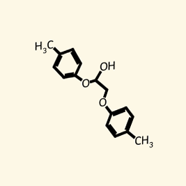 Cc1ccc(OCC(O)Oc2ccc(C)cc2)cc1